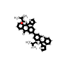 C=C(C)COC1(c2ccco2)c2ccccc2Sc2cc(-c3ccc4c(c3)C(=O)c3ccccc3C4(OC(=O)C(=C)C)c3ccco3)ccc21